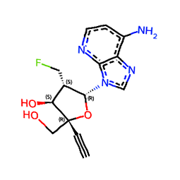 C#C[C@]1(CO)O[C@@H](n2cnc3c(N)ccnc32)[C@@H](CF)[C@@H]1O